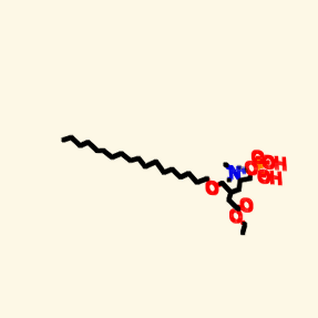 CCCCCCCCCCCCCCCCCCOCC(CC(=O)OCC)CC(COP(=O)(O)O)[N+](C)(C)C